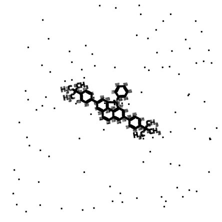 CC(C)(C)c1ccc(-c2cc3ccc4cc(-c5ccc(C(C)(C)C)cc5)cc5c4c3c(c2)n5-c2ccccc2)cc1